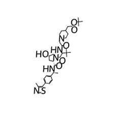 Cc1ncsc1-c1ccc([C@H](C)NC(=O)[C@@H]2C[C@@H](O)CN2C(=O)[C@@H](NC(=O)CN2CCC(CC(=O)OC(C)(C)C)CC2)C(C)(C)C)cc1